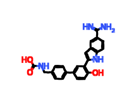 N=C(N)c1ccc2[nH]c(-c3cc(-c4ccc(CNC(=O)O)cc4)ccc3O)cc2c1